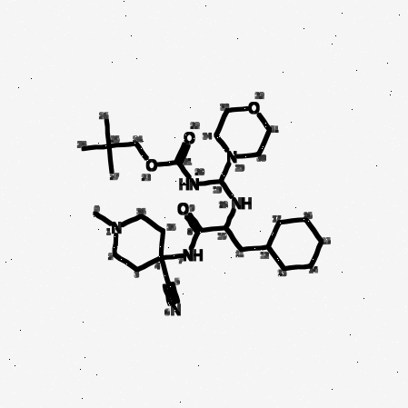 CN1CCC(C#N)(NC(=O)C(CC2CCCCC2)NC(NC(=O)OCC(C)(C)C)N2CCOCC2)CC1